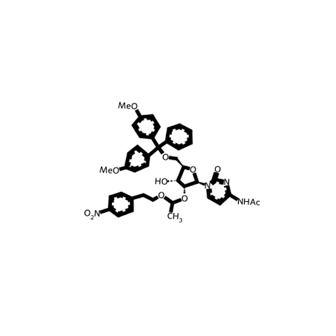 COc1ccc(C(OC[C@H]2O[C@@H](n3ccc(NC(C)=O)nc3=O)[C@H](OC(C)OCCc3ccc([N+](=O)[O-])cc3)[C@@H]2O)(c2ccccc2)c2ccc(OC)cc2)cc1